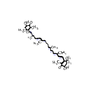 CC1=C(/C=C/C(C)=C/C=C/C(C)=C/CC/C=C(C)/C=C/C=C(C)/C=C/C2=C(C)C(=O)C(O)=CC2(C)C)C(C)(C)C=C(O)C1=O